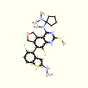 CCSc1nc(N(C)C2(N(C)C)CCCC2)c2c3c(c(-c4c(F)ccc5sc(NC(=O)O)cc45)c(F)c2n1)COC3